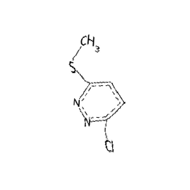 CSc1ccc(Cl)nn1